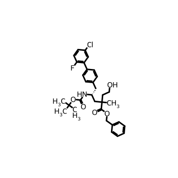 CC(C)(C)OC(=O)N[C@H](Cc1ccc(-c2cc(Cl)ccc2F)cc1)CC(C)(CCO)C(=O)OCc1ccccc1